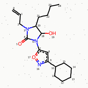 C=CCN1C(=O)N(c2cc(C3CCCCC3)no2)C(O)C1CCCC